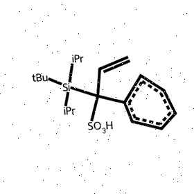 C=CC(c1ccccc1)([Si](C(C)C)(C(C)C)C(C)(C)C)S(=O)(=O)O